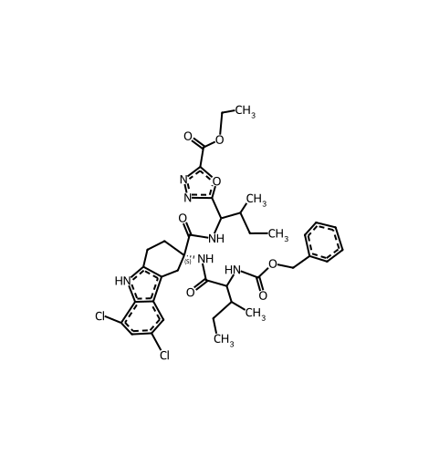 CCOC(=O)c1nnc(C(NC(=O)[C@]2(NC(=O)C(NC(=O)OCc3ccccc3)C(C)CC)CCc3[nH]c4c(Cl)cc(Cl)cc4c3C2)C(C)CC)o1